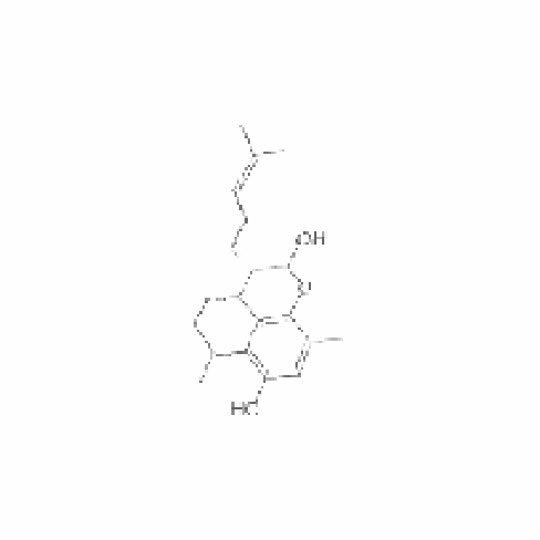 CC(C)=CCC[C@@H]1C(O)Oc2c(C)cc(O)c3c2C1CCC3C